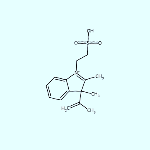 C=C(C)C1(C)C(C)=[N+](CCS(=O)(=O)O)c2ccccc21